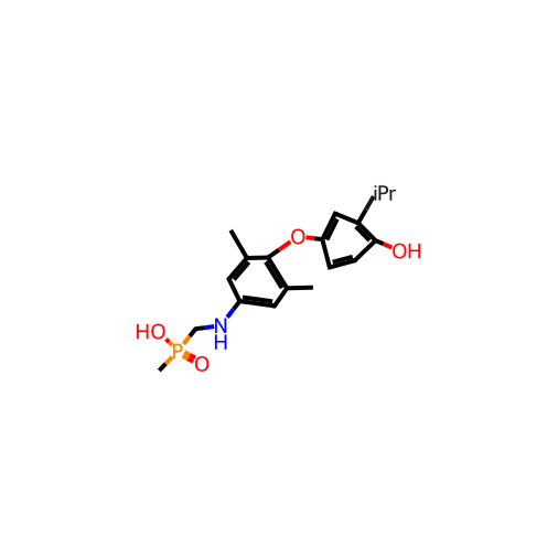 Cc1cc(NCP(C)(=O)O)cc(C)c1Oc1ccc(O)c(C(C)C)c1